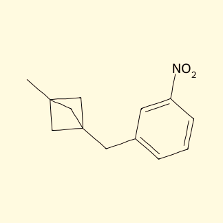 CC12CC(Cc3cccc([N+](=O)[O-])c3)(C1)C2